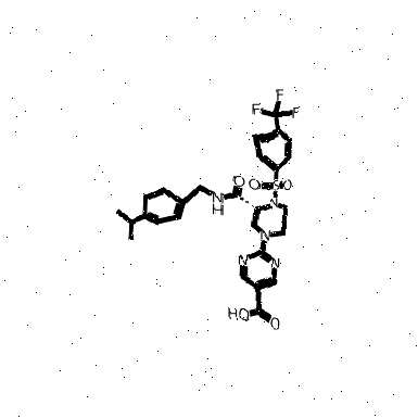 CC(C)c1ccc(CNC(=O)[C@H]2CN(c3ncc(C(=O)O)cn3)CCN2S(=O)(=O)c2ccc(C(F)(F)F)cc2)cc1